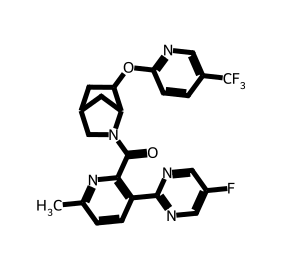 Cc1ccc(-c2ncc(F)cn2)c(C(=O)N2CC3CC(Oc4ccc(C(F)(F)F)cn4)C2C3)n1